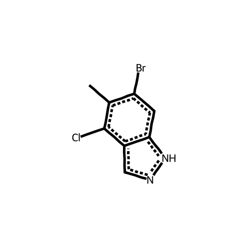 Cc1c(Br)cc2[nH]ncc2c1Cl